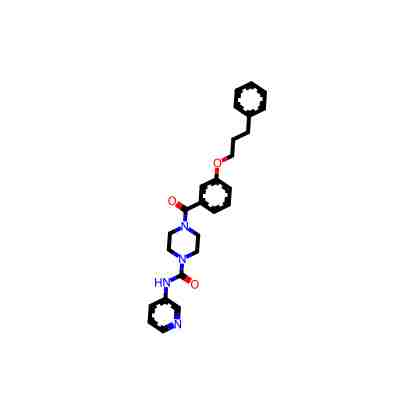 O=C(Nc1cccnc1)N1CCN(C(=O)c2cccc(OCCCc3ccccc3)c2)CC1